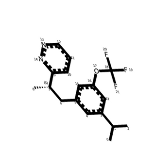 CC(C)c1cc(C[C@H](C)c2cccnn2)cc(OC(F)(F)F)c1